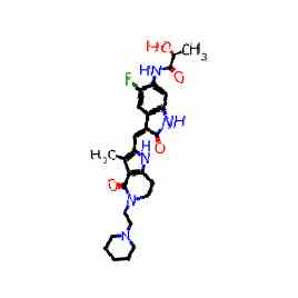 Cc1c(C=C2C(=O)Nc3cc(NC(=O)[C@H](C)O)c(F)cc32)[nH]c2c1C(=O)N(CCN1CCCCC1)CC2